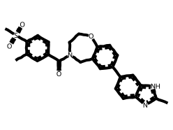 Cc1nc2ccc(-c3ccc4c(c3)CN(C(=O)c3ccc(S(C)(=O)=O)c(C)c3)CCO4)cc2[nH]1